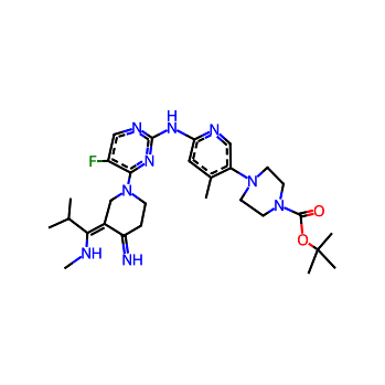 CN/C(=C1/CN(c2nc(Nc3cc(C)c(N4CCN(C(=O)OC(C)(C)C)CC4)cn3)ncc2F)CCC1=N)C(C)C